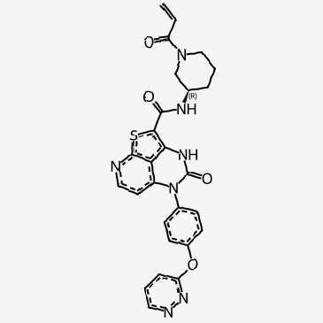 C=CC(=O)N1CCC[C@@H](NC(=O)c2sc3nccc4c3c2NC(=O)N4c2ccc(Oc3cccnn3)cc2)C1